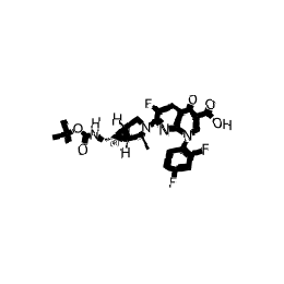 C[C@H]1[C@H]2[C@H](CNC(=O)OC(C)(C)C)[C@H]2CN1c1nc2c(cc1F)c(=O)c(C(=O)O)cn2-c1ccc(F)cc1F